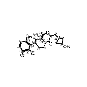 O=C1C(CN2CC(O)C2)OC[C@@H]2C[C@H](c3c(O)ccc(Cl)c3Cl)CCN12